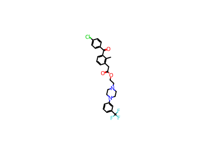 Cc1c(CC(=O)OCCN2CCN(c3cccc(C(F)(F)F)c3)CC2)cccc1C(=O)c1ccc(Cl)cc1